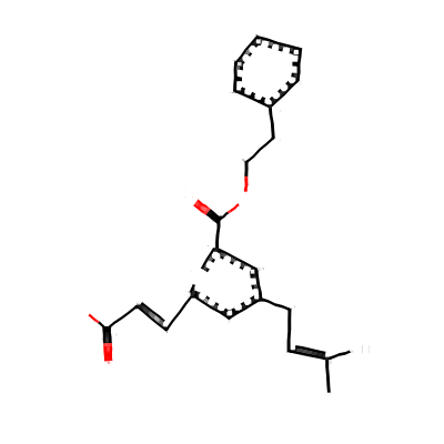 CC(C)=CCc1cc(/C=C/C(=O)O)cc(C(=O)OCCc2ccccc2)c1